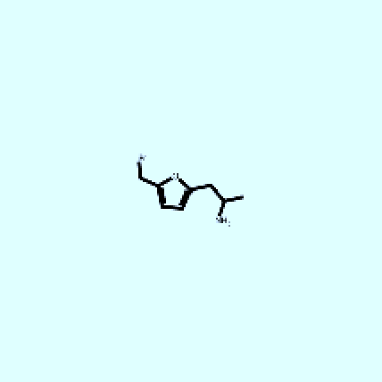 CC(C)Cc1ccc(CC(C)N)o1